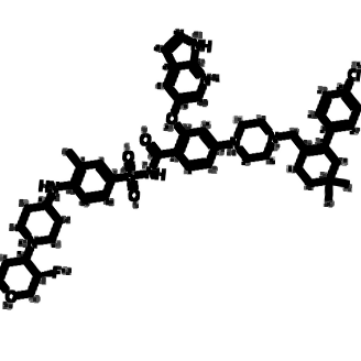 Cc1cc(S(=O)(=O)NC(=O)c2ccc(N3CCN(CC4=C(c5ccc(Cl)cc5)CC(C)(C)CC4)CC3)cc2Oc2cnc3[nH]ccc3c2)ccc1NC1CCN(C2CCOC[C@@H]2F)CC1